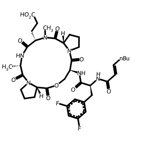 CCCC/C=C/C(=O)N[C@@H](Cc1cc(F)cc(F)c1)C(=O)N[C@H]1COC(=O)[C@@H]2CCCN2C(=O)[C@H](C)NC(=O)[C@H](CCC(=O)O)N(C)C(=O)[C@@H]2CCCN2C1=O